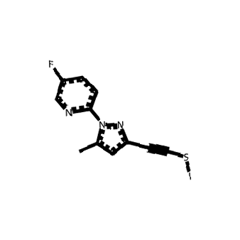 Cc1cc(C#CSI)nn1-c1ccc(F)cn1